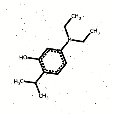 CCN(CC)c1ccc(C(C)C)c(O)c1